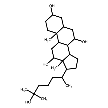 CC(CCCC(C)(C)O)C1CCC2C3C(O)CC4CC(O)CCC4(C)C3CC(O)C12C